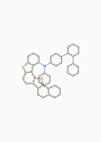 c1ccc(-c2ccccc2-c2ccc(N(c3ccccc3)c3cccc4sc5ccc6c7ccc8ccccc8c7oc6c5c34)cc2)cc1